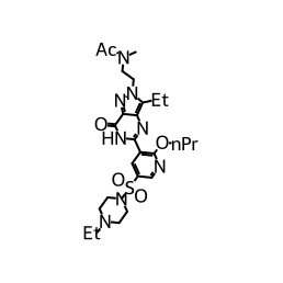 CCCOc1ncc(S(=O)(=O)N2CCN(CC)CC2)cc1-c1nc2c(CC)n(CCN(C)C(C)=O)nc2c(=O)[nH]1